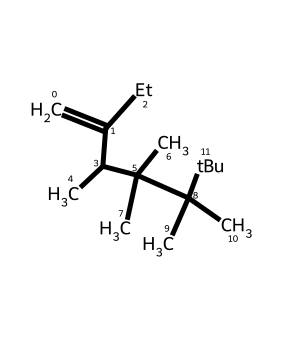 C=C(CC)C(C)C(C)(C)C(C)(C)C(C)(C)C